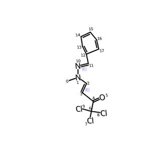 CN(/C=C/C(=O)C(Cl)(Cl)Cl)/N=C/c1ccccc1